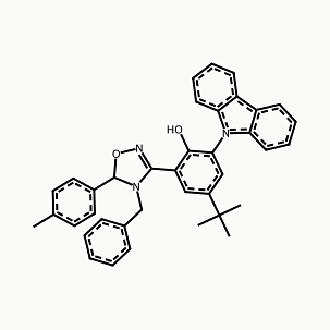 Cc1ccc(C2ON=C(c3cc(C(C)(C)C)cc(-n4c5ccccc5c5ccccc54)c3O)N2Cc2ccccc2)cc1